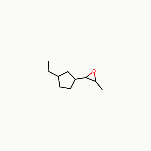 CCC1CCC(C2OC2C)C1